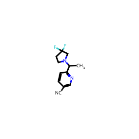 CC(c1ccc(C#N)cn1)N1CCC(F)(F)C1